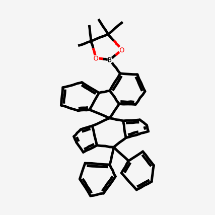 CC1(C)OB(c2cccc3c2-c2ccccc2C32c3ccccc3C(c3ccccc3)(c3ccccc3)c3ccccc32)OC1(C)C